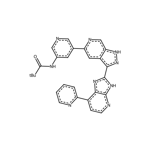 CC(C)(C)C(=O)Nc1cncc(-c2cc3c(-c4nc5c(-c6ccccn6)ccnc5[nH]4)n[nH]c3cn2)c1